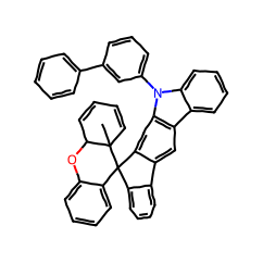 CC12C=CC=CC1Oc1ccccc1C21c2ccccc2-c2cc3c4ccccc4n(-c4cccc(-c5ccccc5)c4)c3cc21